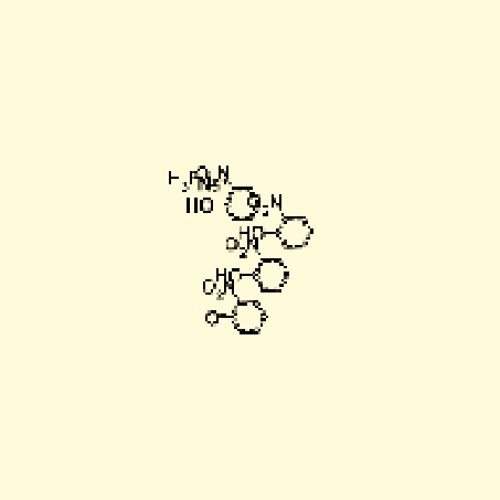 O=[N+]([O-])c1ccccc1O.O=[N+]([O-])c1ccccc1O.O=[N+]([O-])c1ccccc1O.O=[N+]([O-])c1ccccc1[O-].P.[Na+]